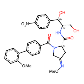 CON=C1C[C@@H](C(=O)N[C@@H](CO)[C@@H](O)c2ccc([N+](=O)[O-])cc2)N(C(=O)c2ccc(-c3ccccc3OC)cc2)C1